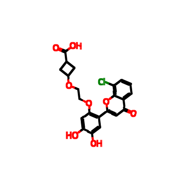 O=C(O)C1CC(OCCOc2cc(O)c(O)cc2-c2cc(=O)c3cccc(Cl)c3o2)C1